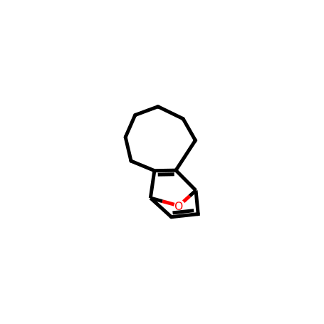 C1=CC2OC1C1=C2CCCCCC1